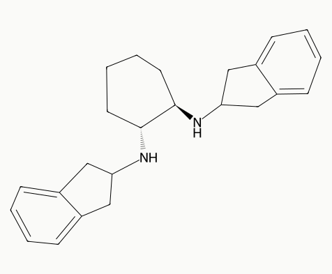 c1ccc2c(c1)CC(N[C@@H]1CCCC[C@H]1NC1Cc3ccccc3C1)C2